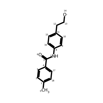 Cc1ccc(C(=O)Nc2ccc(CC[O])cc2)cc1